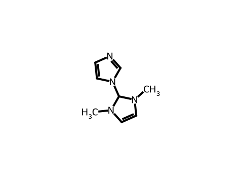 CN1C=CN(C)C1n1ccnc1